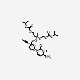 CC#C[C@@]1(COP(=O)(OCOC(=O)OC(C)C)OCOC(=O)OC(C)C)CC[C@H](N2C=CC(N)NC2=O)O1